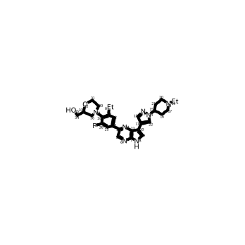 CCc1cc(-c2cnc3[nH]cc(-c4cnn(C5CCN(CC)CC5)c4)c3n2)cc(F)c1N1CCOC(CO)C1